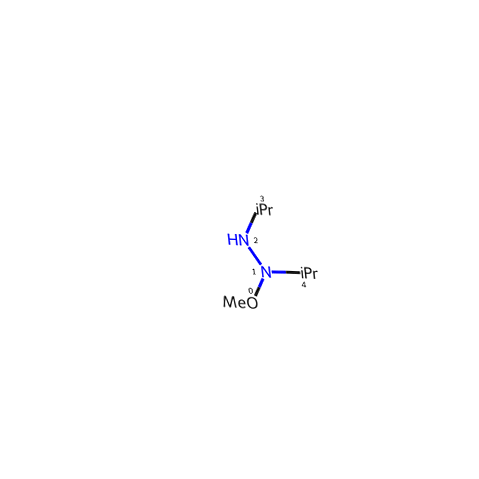 CON(NC(C)C)C(C)C